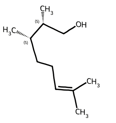 CC(C)=CCC[C@H](C)[C@H](C)CO